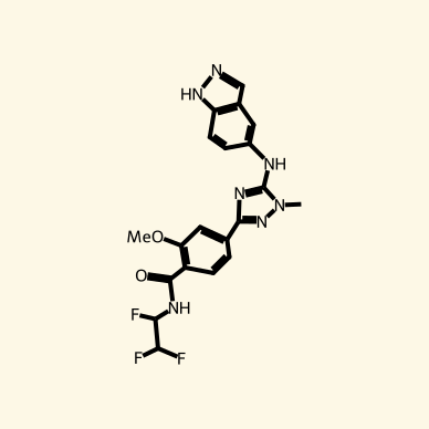 COc1cc(-c2nc(Nc3ccc4[nH]ncc4c3)n(C)n2)ccc1C(=O)NC(F)C(F)F